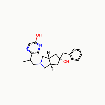 CC(CN1C[C@@H]2C[C@@](O)(Cc3ccccc3)C[C@@H]2C1)c1cnc(O)cn1